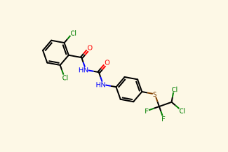 O=C(NC(=O)c1c(Cl)cccc1Cl)Nc1ccc(SC(F)(F)C(Cl)Cl)cc1